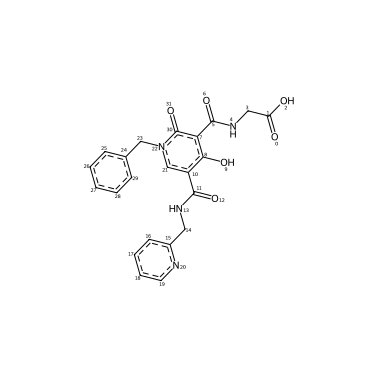 O=C(O)CNC(=O)c1c(O)c(C(=O)NCc2ccccn2)cn(Cc2ccccc2)c1=O